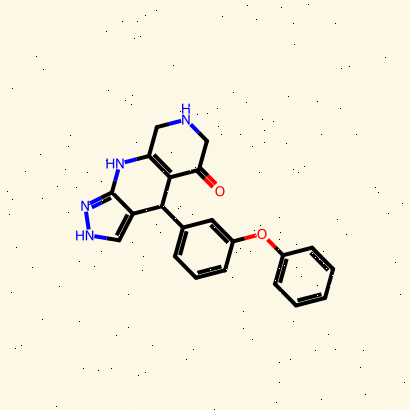 O=C1CNCC2=C1C(c1cccc(Oc3ccccc3)c1)c1c[nH]nc1N2